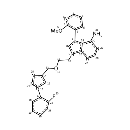 COc1ncccc1-c1cn(CCOCc2cn(-c3ccccc3F)nn2)c2ncnc(N)c12